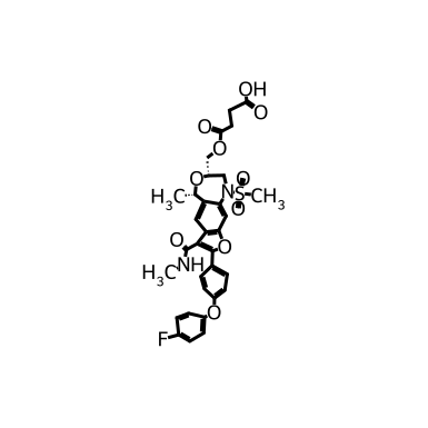 CNC(=O)c1c(-c2ccc(Oc3ccc(F)cc3)cc2)oc2cc3c(cc12)[C@H](C)O[C@H](COC(=O)CCC(=O)O)CN3S(C)(=O)=O